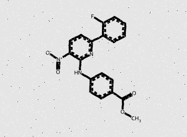 COC(=O)c1ccc(Nc2nc(-c3ccccc3F)ccc2[N+](=O)[O-])cc1